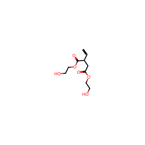 C=CC(CC(=O)OCCO)C(=O)OCCO